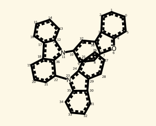 c1ccc2c(c1)oc1ccc(-n3c4ccccc4c4cccc(-n5c6ccccc6c6ccccc65)c43)cc12